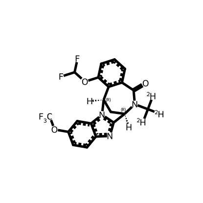 [2H]C([2H])([2H])N1C(=O)c2cccc(OC(F)F)c2[C@H]2C[C@@H]1c1nc3ccc(OC(F)(F)F)cc3n12